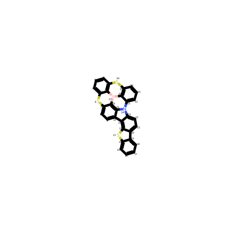 c1cc2c3c(c1)Sc1ccc4c5c6sc7ccccc7c6ccc5n5c4c1B3c1c(cccc1-5)S2